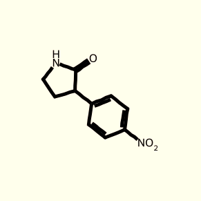 O=C1NCCC1c1ccc([N+](=O)[O-])cc1